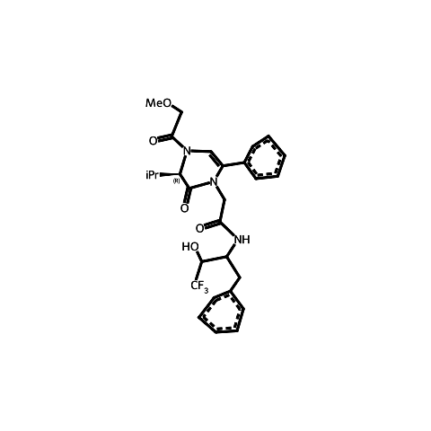 COCC(=O)N1C=C(c2ccccc2)N(CC(=O)NC(Cc2ccccc2)C(O)C(F)(F)F)C(=O)[C@H]1C(C)C